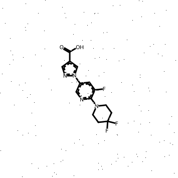 O=C(O)c1cnn(-c2cnc(N3CCC(F)(F)CC3)c(F)c2)c1